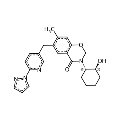 Cc1cc2c(cc1Cc1ccc(-n3cccn3)nc1)C(=O)N([C@H]1CCCC[C@@H]1O)CO2